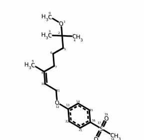 COC(C)(C)CCCC(C)=CCOc1ccc(S(C)(=O)=O)cc1